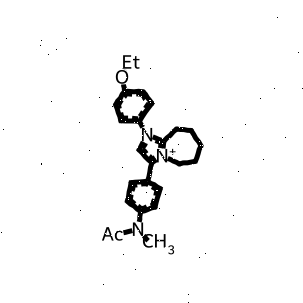 CCOc1ccc(-n2cc(-c3ccc(N(C)C(C)=O)cc3)[n+]3c2CCCCC3)cc1